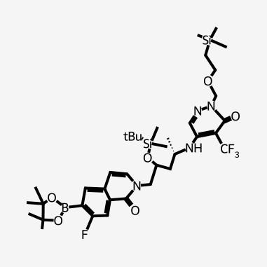 C[C@@H](CC(Cn1ccc2cc(B3OC(C)(C)C(C)(C)O3)c(F)cc2c1=O)O[Si](C)(C)C(C)(C)C)Nc1cnn(COCC[Si](C)(C)C)c(=O)c1C(F)(F)F